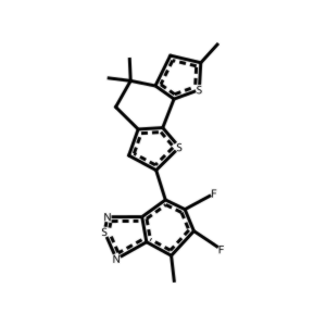 Cc1cc2c(s1)-c1sc(-c3c(F)c(F)c(C)c4nsnc34)cc1CC2(C)C